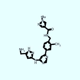 Cc1cc(-c2cc(Nc3cc(CN)[nH]n3)ncn2)ccc1CNC(=O)c1cnn(C(C)(C)C)c1